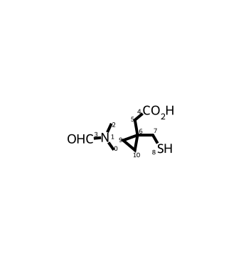 CN(C)C=O.O=C(O)CC1(CS)CC1